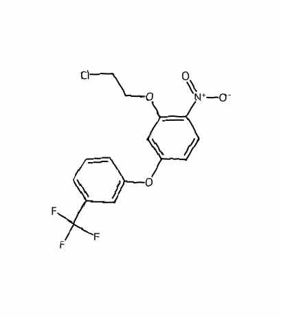 O=[N+]([O-])c1ccc(Oc2cccc(C(F)(F)F)c2)cc1OCCCl